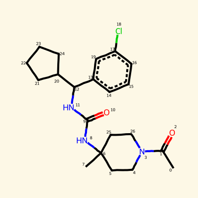 CC(=O)N1CCC(C)(NC(=O)NC(c2cccc(Cl)c2)C2CCCC2)CC1